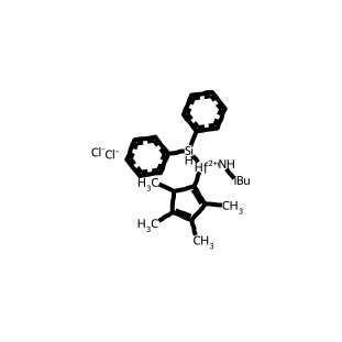 CCC(C)[NH][Hf+2]([C]1=C(C)C(C)=C(C)C1C)[SiH](c1ccccc1)c1ccccc1.[Cl-].[Cl-]